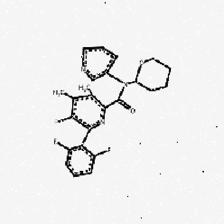 Cc1c(C(=O)N(c2cccnc2)C2CCCCO2)nc(-c2c(F)cccc2F)c(F)c1C